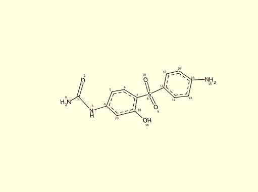 NC(=O)Nc1ccc(S(=O)(=O)c2ccc(N)cc2)c(O)c1